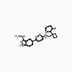 NNc1n[nH]c2ccc(-c3ccc(NCC4(c5ncccc5F)CCC4)nn3)cc12